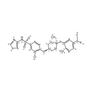 C[C@@H]1C[C@@H](Oc2ccc(S(=O)(=O)Nc3cscn3)cc2Cl)C[C@H](C)N1Cc1cccc(C(F)F)c1